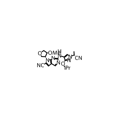 CO[C@H]1COC[C@H]1n1c(C#N)cc2cnc(Nc3cn([C@H](C)C#N)nc3OC(C)C)nc21